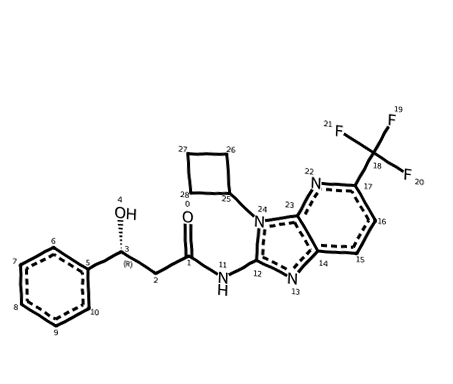 O=C(C[C@@H](O)c1ccccc1)Nc1nc2ccc(C(F)(F)F)nc2n1C1CCC1